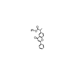 CC(C)OC(=O)C(C)c1ccc2oc(-c3ccccc3)cc(=O)c2c1